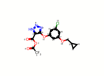 O=C(OC(=O)C(F)(F)F)c1[nH]nnc1Oc1cc(Cl)cc(OCC2CC2)c1